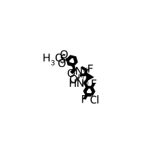 CS(=O)(=O)c1cccc(C(=O)N2C[C@@H](F)C[C@@H]2C(=O)N[C@@H](c2cc(F)c(Cl)cc2F)C2CC2)c1